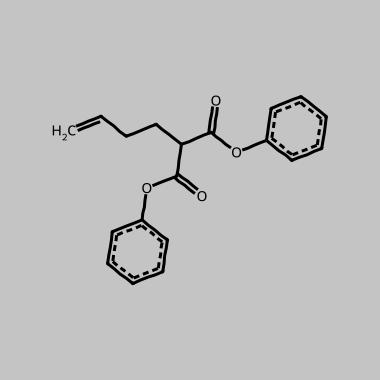 C=CCCC(C(=O)Oc1ccccc1)C(=O)Oc1ccccc1